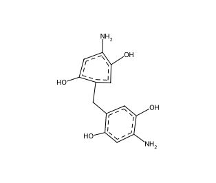 Nc1cc(O)c(Cc2cc(O)c(N)cc2O)cc1O